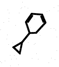 C1=CCC(C2CC2)C=C1